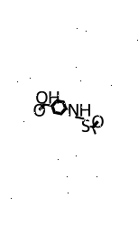 CC(=O)SCCNc1ccc(C(=O)O)cc1